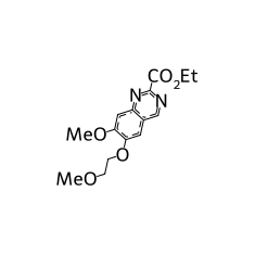 CCOC(=O)c1ncc2cc(OCCOC)c(OC)cc2n1